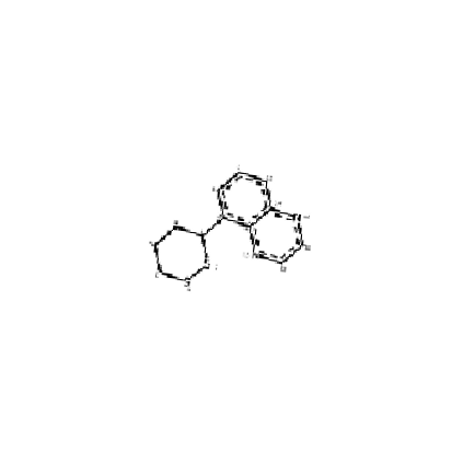 c1cc(C2CCCSS2)c2nccnc2c1